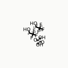 O=S(=O)(O)O.OCC(F)(F)F.OCC(F)(F)F